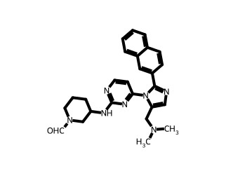 CN(C)Cc1cnc(-c2ccc3ccccc3c2)n1-c1ccnc(NC2CCCN(C=O)C2)n1